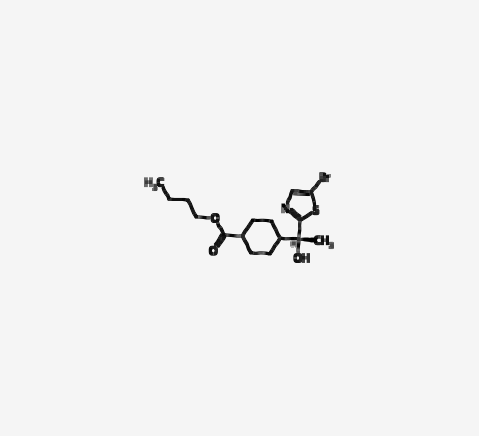 CCCCOC(=O)C1CCC([C@@](C)(O)c2ncc(Br)s2)CC1